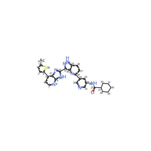 CC(=O)c1ccc(-c2ccnc3[nH]c(-c4n[nH]c5ccc(-c6cncc(NC(=O)C7CCCCC7)c6)nc45)nc23)s1